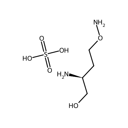 NOCC[C@H](N)CO.O=S(=O)(O)O